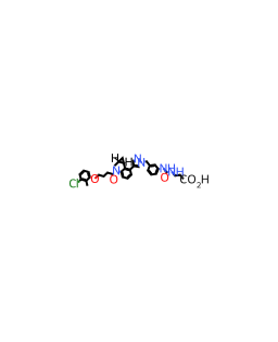 Cc1c(Cl)cccc1OCCCC(=O)N1C[C@@H]2C[C@@H]2c2c(-c3cnn(Cc4cccc(NC(=O)NCCC(=O)O)c4)c3)cccc21